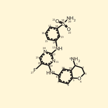 NC1CCOc2ccc(Nc3nc(Nc4cccc(S(N)(=O)=O)c4)ncc3F)cc21